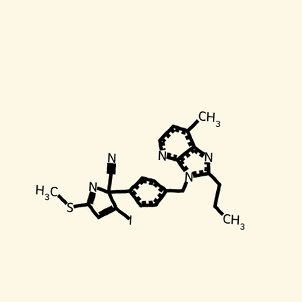 CCCc1nc2c(C)ccnc2n1Cc1ccc(C2(C#N)N=C(SC)C=C2I)cc1